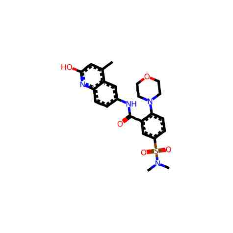 Cc1cc(O)nc2ccc(NC(=O)c3cc(S(=O)(=O)N(C)C)ccc3N3CCOCC3)cc12